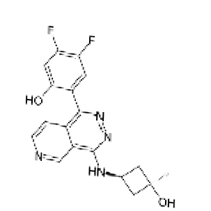 C[C@]1(O)C[C@@H](Nc2nnc(-c3cc(F)c(F)cc3O)c3ccncc23)C1